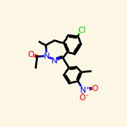 CC(=O)N1N=C(c2ccc([N+](=O)[O-])c(C)c2)c2ccc(Cl)cc2CC1C